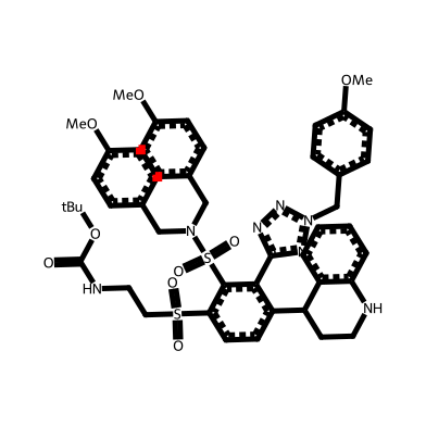 COc1ccc(CN(Cc2ccc(OC)cc2)S(=O)(=O)c2c(S(=O)(=O)CCNC(=O)OC(C)(C)C)ccc(C3CCNc4ccccc43)c2-c2nnn(Cc3ccc(OC)cc3)n2)cc1